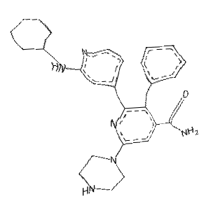 NC(=O)c1cc(N2CCNCC2)nc(-c2ccnc(NC3CCCCC3)c2)c1-c1ccccc1